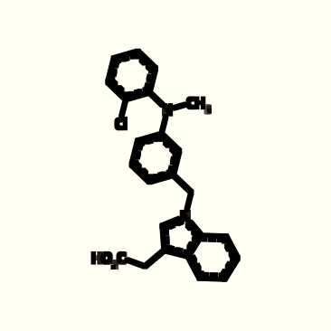 CN(c1cccc(Cn2cc(CC(=O)O)c3ccccc32)c1)c1ccccc1Cl